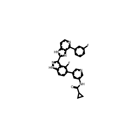 O=C(Nc1cncc(-c2ccc3[nH]nc(-c4nc5c(-c6cccc(F)c6)nccc5[nH]4)c3c2F)c1)C1CC1